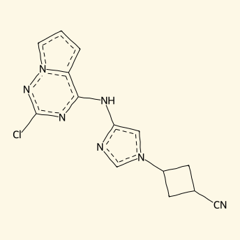 N#CC1CC(n2cnc(Nc3nc(Cl)nn4cccc34)c2)C1